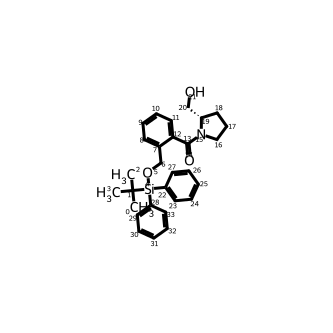 CC(C)(C)[Si](OCc1ccccc1C(=O)N1CCC[C@H]1CO)(c1ccccc1)c1ccccc1